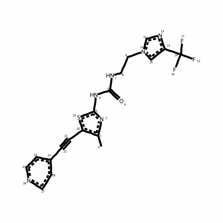 Cc1nc(NC(=O)NCCn2cnc(C(F)(F)F)c2)sc1C#Cc1ccncc1